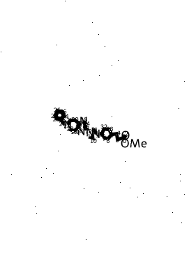 COC(=O)CCC1CCC(N2C=CN(c3cnc4c(n3)CCN(Cc3ccccc3)CC4)C2)CC1